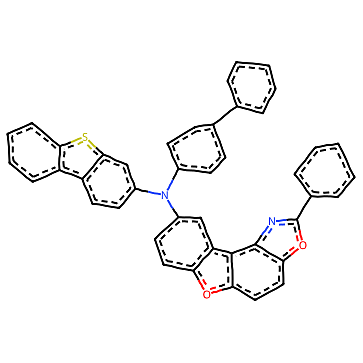 c1ccc(-c2ccc(N(c3ccc4c(c3)sc3ccccc34)c3ccc4oc5ccc6oc(-c7ccccc7)nc6c5c4c3)cc2)cc1